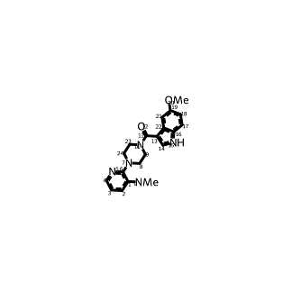 CNc1cccnc1N1CCN(C(=O)c2c[nH]c3ccc(OC)cc23)CC1